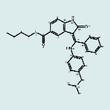 CCCCNC(=O)c1ccc2c(c1)C(=C(Nc1ccc(CN(C)C)cc1)c1ccccc1)C(=O)N2